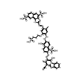 Cc1cc(N=Nc2ccc3c(S(=O)(=O)O)c(N=Nc4c(C)c(C#N)c5nc6ccccc6n5c4O)ccc3c2O)c(OCCCS(=O)(=O)O)cc1N=Nc1nc2c(S(=O)(=O)O)cc3ccc(S(=O)(=O)O)cc3c2s1